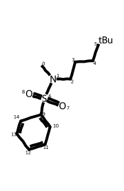 CN(CCCC(C)(C)C)S(=O)(=O)c1ccccc1